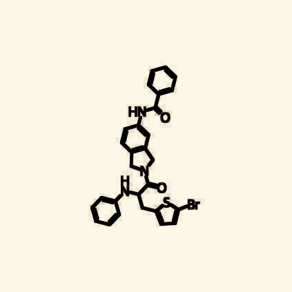 O=C(Nc1ccc2c(c1)CN(C(=O)C(Cc1ccc(Br)s1)Nc1ccccc1)C2)c1ccccc1